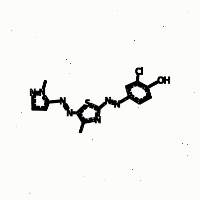 Cc1nc(/N=N/c2ccc(O)c(Cl)c2)sc1/N=N/c1ccnn1C